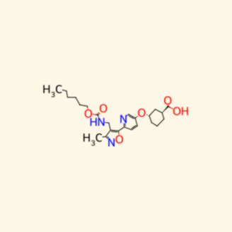 CCCCCCOC(=O)NCc1c(C)noc1-c1ccc(O[C@H]2CCC[C@H](C(=O)O)C2)cn1